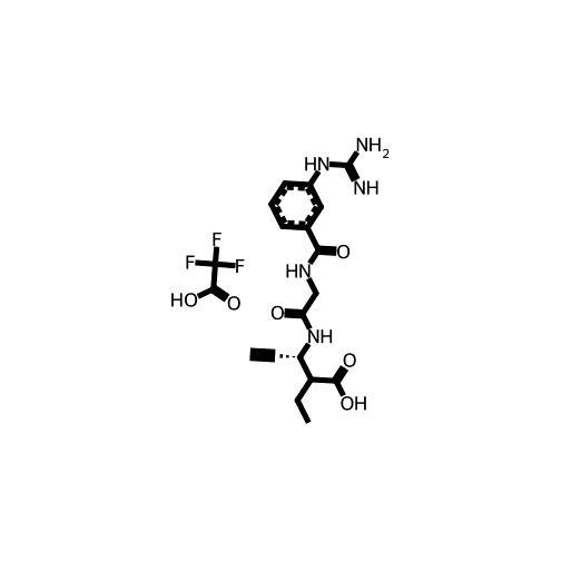 C#C[C@H](NC(=O)CNC(=O)c1cccc(NC(=N)N)c1)C(CC)C(=O)O.O=C(O)C(F)(F)F